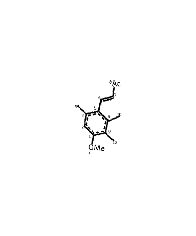 COc1cc(C)c(C=CC(C)=O)c(C)c1C